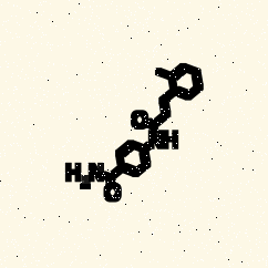 Cc1ccccc1C=CC(=O)Nc1ccc(C(N)=O)cc1